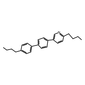 CCCCc1ccc(-c2ccc(-c3ccc(CCCC)nc3)cc2)cc1